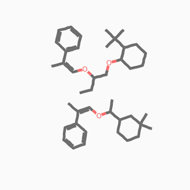 CC(=COC(C)C1CCCC(C)(C)C1)c1ccccc1.CCC(COC1CCCCC1C(C)(C)C)OC=C(C)c1ccccc1